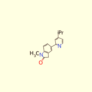 CC(C)c1ccnc(-c2ccc3c(c2)CC(=O)N3C)c1